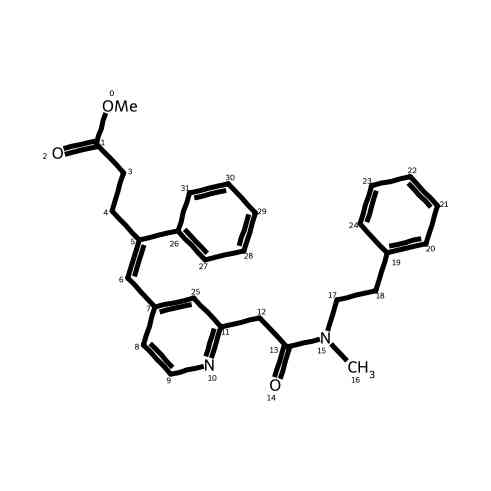 COC(=O)CCC(=Cc1ccnc(CC(=O)N(C)CCc2ccccc2)c1)c1ccccc1